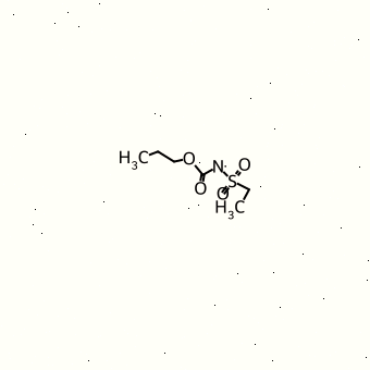 CCCOC(=O)[N]S(=O)(=O)CC